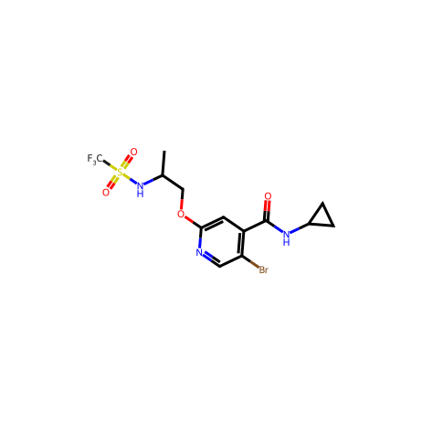 CC(COc1cc(C(=O)NC2CC2)c(Br)cn1)NS(=O)(=O)C(F)(F)F